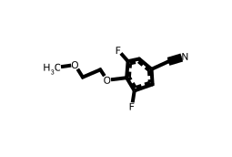 COCCOc1c(F)cc(C#N)cc1F